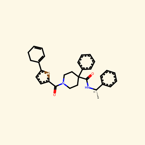 C[C@H](NC(=O)C1(c2ccccc2)CCN(C(=O)c2ccc(C3=CC=CCC3)s2)CC1)c1ccccc1